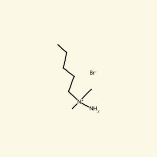 CCCCC[N+](C)(C)N.[Br-]